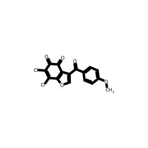 COc1ccc(C(=O)c2coc3c2C(=O)C(=O)C(Cl)=C3Cl)cc1